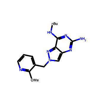 CCCCNc1nc(N)nc2cn(Cc3cccnc3OC)nc12